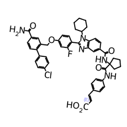 NC(=O)c1ccc(-c2ccc(Cl)cc2)c(COc2ccc(-c3nc4cc(C(=O)NC5(C(=O)Nc6ccc(/C=C/C(=O)O)cc6)CCCC5)ccc4n3C3CCCCC3)c(F)c2)c1